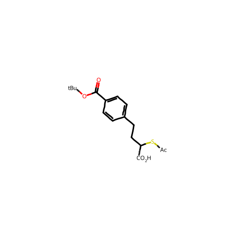 CC(=O)SC(CCc1ccc(C(=O)OC(C)(C)C)cc1)C(=O)O